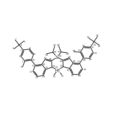 Cc1cc(C(C)(C)C)ccc1-c1cccc2c1C=C1[CH]2[Hf]([CH3])([CH3])[CH]2C(=Cc3c(-c4ccc(C(C)(C)C)cc4C)cccc32)[Si]1(C(C)C)C(C)C